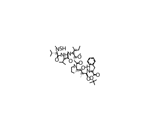 CC[C@H](C)[C@@H]([C@@H](CC(=O)N1CCC[C@H]1[C@H](OC)[C@@H](C)C(=O)N[C@@H](Cc1ccccc1)C(=O)OC(C)(C)C)OC)N(C)C(=O)[C@@H](NC(=O)[C@H](C(C)C)N(C)S)C(C)C